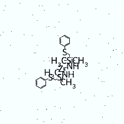 C[Si](C)(CSc1ccccc1)[NH][Zr][NH][Si](C)(C)CSc1ccccc1